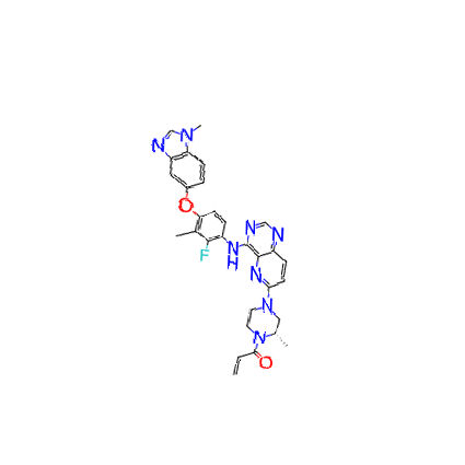 C=CC(=O)N1CCN(c2ccc3ncnc(Nc4ccc(Oc5ccc6c(c5)ncn6C)c(C)c4F)c3n2)C[C@@H]1C